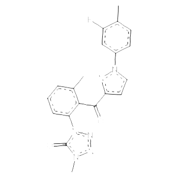 Cc1ccc(-n2ccc(C(=O)c3c(C)cccc3-n3nnn(C)c3=O)n2)cc1F